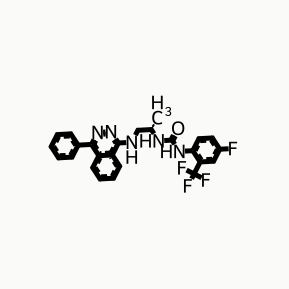 C[C@@H](CNc1nnc(-c2ccccc2)c2ccccc12)NC(=O)Nc1ccc(F)cc1C(F)(F)F